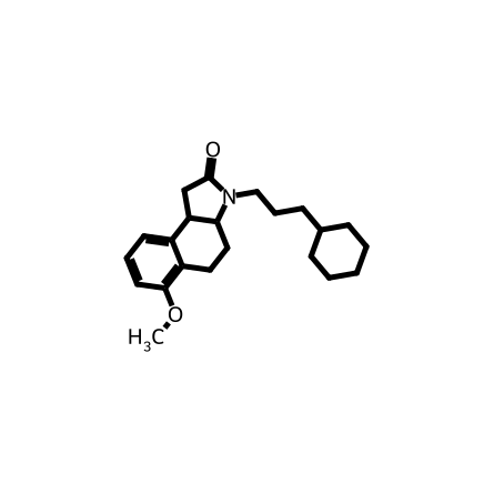 COc1cccc2c1CCC1C2CC(=O)N1CCCC1CCCCC1